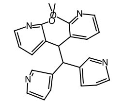 COc1ncccc1C(c1cccnc1OC)C(c1cccnc1)c1cccnc1